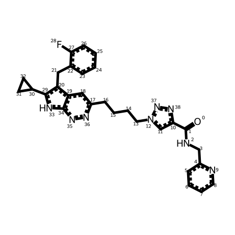 O=C(NCc1ccccn1)c1cn(CCCCc2cc3c(Cc4ccccc4F)c(C4CC4)[nH]c3nn2)nn1